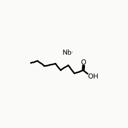 CCCCCCCC(=O)O.[Nb]